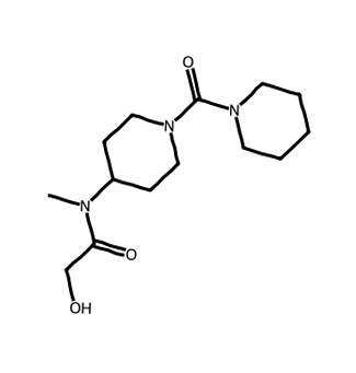 CN(C(=O)CO)C1CCN(C(=O)N2CCCCC2)CC1